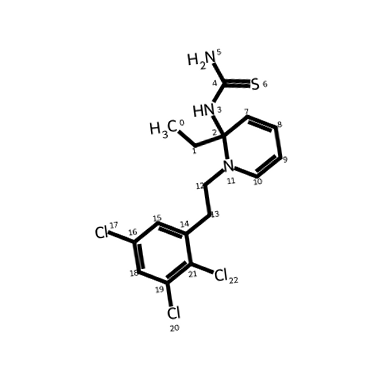 CCC1(NC(N)=S)C=CC=CN1CCc1cc(Cl)cc(Cl)c1Cl